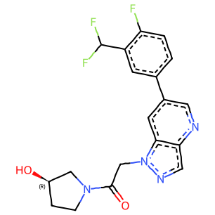 O=C(Cn1ncc2ncc(-c3ccc(F)c(C(F)F)c3)cc21)N1CC[C@@H](O)C1